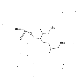 C=CC(=O)OCC(CCC(C)CC(C)(C)C)C(C)CC(C)(C)C